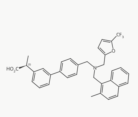 Cc1ccc2ccccc2c1CN(Cc1ccc(-c2cccc([C@H](C)C(=O)O)c2)cc1)Cc1ccc(C(F)(F)F)o1